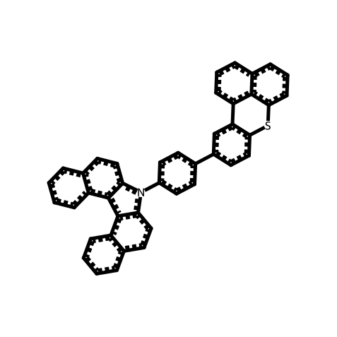 c1cc2c3c(cccc3c1)-c1cc(-c3ccc(-n4c5ccc6ccccc6c5c5c6ccccc6ccc54)cc3)ccc1S2